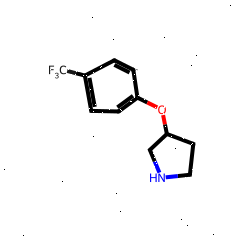 FC(F)(F)c1c[c]c(OC2CCNC2)cc1